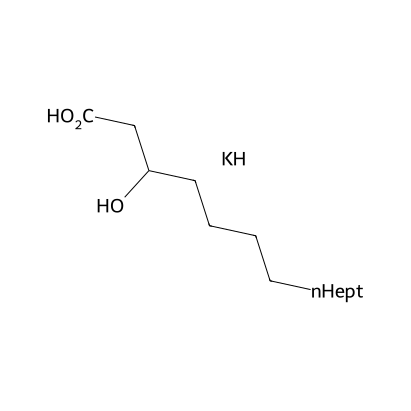 CCCCCCCCCCCC(O)CC(=O)O.[KH]